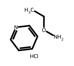 CCON.Cl.c1ccncc1